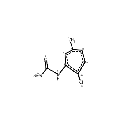 CNC(=O)Nc1cc(C)ccc1Cl